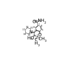 CC1(C)Oc2ccc(C(N)=O)cc2[C@H](N2CCCCC2)[C@H]1O